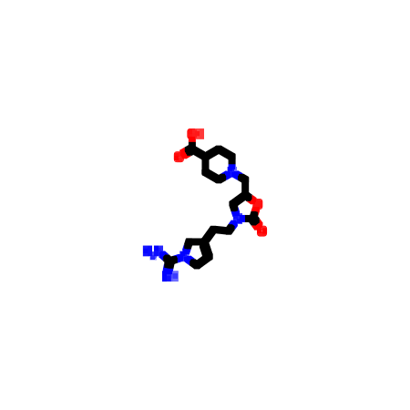 N=C(N)N1CC=C(CCN2CC(CN3CCC(C(=O)O)CC3)OC2=O)C1